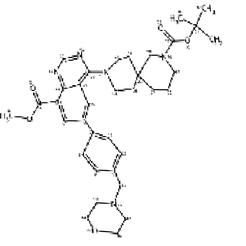 COC(=O)c1cc(-c2ccc(CN3CCOCC3)cc2)cc2c(N3CCC4(CCCN(C(=O)OC(C)(C)C)C4)CC3)ncnc12